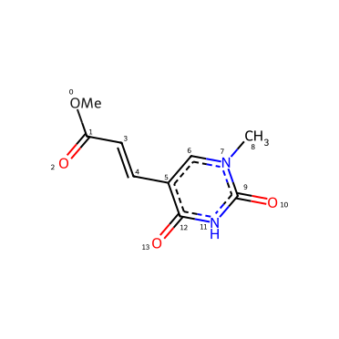 COC(=O)/C=C/c1cn(C)c(=O)[nH]c1=O